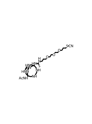 CC(=O)NC12CNCCNCC(NC(=S)NCCCOCCOCCOCCCSC#N)(CNCCNC1)CNCCNC2